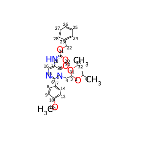 CCOC(Cn1c(-c2ccc(OC)cc2)ncc(NC(=O)OCc2ccccc2)c1=O)OCC